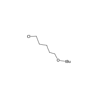 CC(C)(C)OCCCCCCl